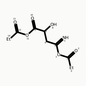 CCC(=O)OC(=N)CC(O)C(=O)OC(=O)CC